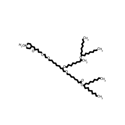 C=C(CCCCCCCOC(CCCCCCCOCCOCCCC(=O)CC1CCN(C)CC1)COCCCCCCCC(=O)OC(CCCCCCCC)CCCCCCCC)OC(CCCCCCCC)CCCCCCCC